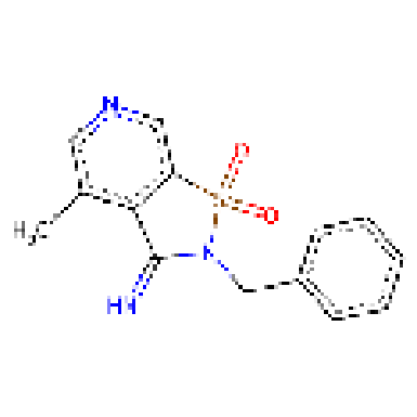 Cc1cncc2c1C(=N)N(Cc1ccccc1)S2(=O)=O